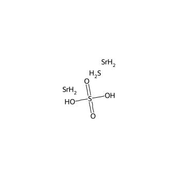 O=S(=O)(O)O.S.[SrH2].[SrH2]